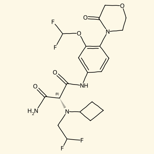 NC(=O)[C@H](C(=O)Nc1ccc(N2CCOCC2=O)c(OC(F)F)c1)N(CC(F)F)C1CCC1